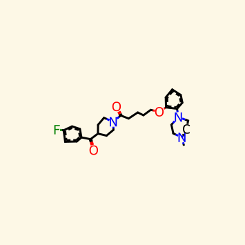 CN1CCN(c2ccccc2OCCCCC(=O)N2CCC(C(=O)c3ccc(F)cc3)CC2)CC1